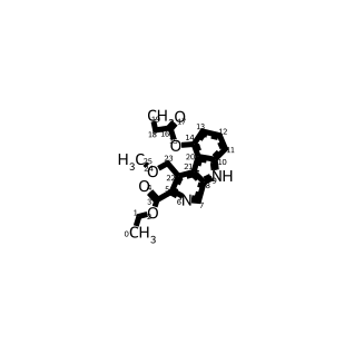 CCOC(=O)c1ncc2[nH]c3cccc(OC(=O)CC)c3c2c1COC